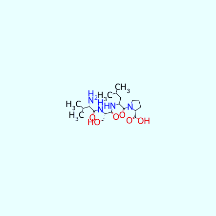 CC(C)C[C@H](NC(=O)[C@H](CO)NC(=O)[C@@H](N)C(C)C)C(=O)N1CCC[C@H]1C(=O)O